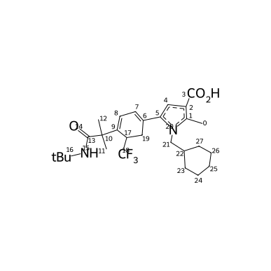 Cc1c(C(=O)O)cc(C2=CC=C(C(C)(C)C(=O)NC(C)(C)C)C(C(F)(F)F)C2)n1CC1CCCCC1